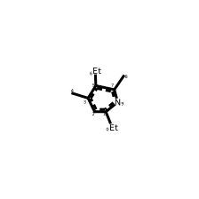 CCc1cc(C)c(CC)c(C)n1